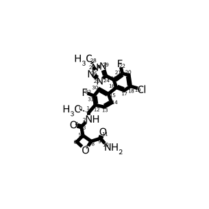 C[C@@H](NC(=O)[C]1COC1C(N)=O)c1ccc(-c2cc(Cl)cc(F)c2-c2nnn(C)n2)cc1F